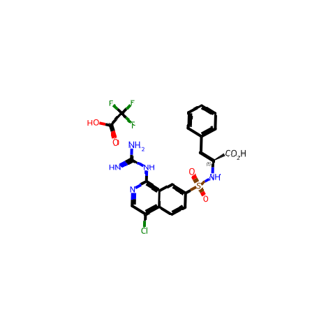 N=C(N)Nc1ncc(Cl)c2ccc(S(=O)(=O)N[C@@H](Cc3ccccc3)C(=O)O)cc12.O=C(O)C(F)(F)F